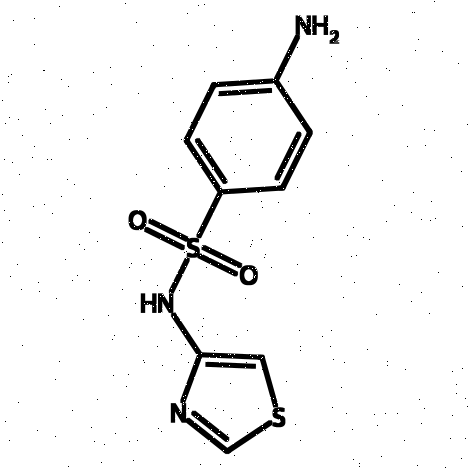 Nc1ccc(S(=O)(=O)Nc2cscn2)cc1